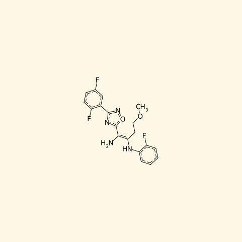 COCC/C(Nc1ccccc1F)=C(/N)c1nc(-c2cc(F)ccc2F)no1